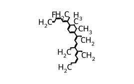 C=C\C=C/C=C(C=C)/C(C=C)=C/C=C(\C=C)C1=CC=C(/C(C=C)=C/C=C(/F)C=C)C(C)[C@@H]1C